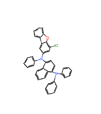 Clc1cc(N(c2ccccc2)c2ccc(N(c3ccccc3)c3ccccc3)c3ccccc23)cc2c1oc1ccccc12